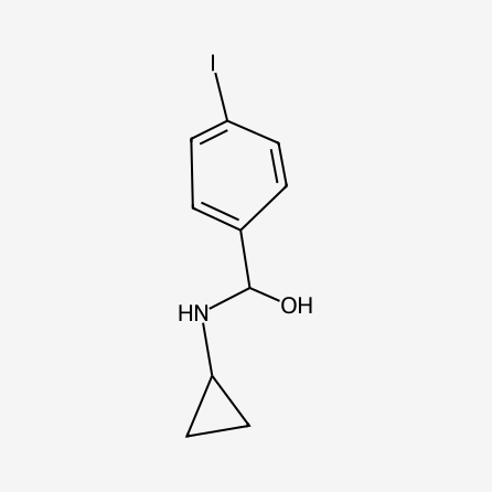 OC(NC1CC1)c1ccc(I)cc1